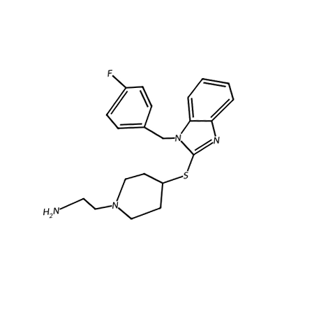 NCCN1CCC(Sc2nc3ccccc3n2Cc2ccc(F)cc2)CC1